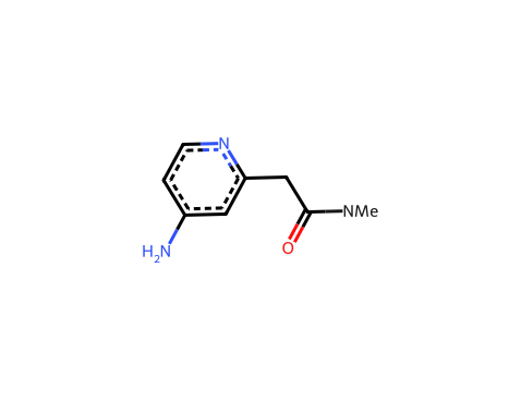 CNC(=O)Cc1cc(N)ccn1